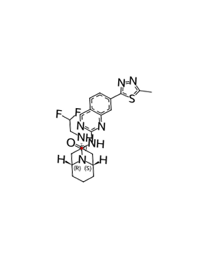 Cc1nnc(-c2ccc3cnc(NC(=O)N4[C@@H]5CCC[C@H]4C[C@@H](NCC(F)F)C5)nc3c2)s1